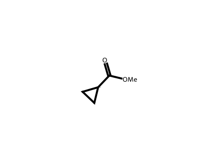 COC(=O)[C]1CC1